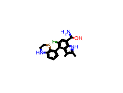 Cc1[nH]c2c(C(N)O)cc(F)c(-c3cccc4c3SCCN4)c2c1C